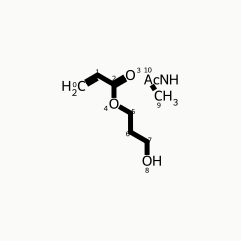 C=CC(=O)OCCCO.CNC(C)=O